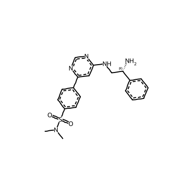 CN(C)S(=O)(=O)c1ccc(-c2cc(NC[C@H](N)c3ccccc3)ncn2)cc1